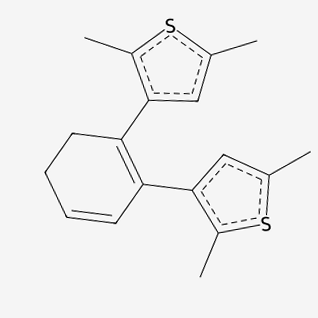 Cc1cc(C2=C(c3cc(C)sc3C)CCC=C2)c(C)s1